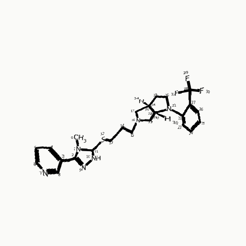 CN1C(c2cccnc2)=NNC1SCCCN1C[C@@H]2CCN(c3ccccc3C(F)(F)F)[C@@H]2C1